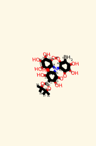 Bc1c(O)c(O)c2ooc3c(O)c(B4OC(C)(C)C(C)(C)O4)c(O)c(O)c3n3c4c(B)c(O)c(O)c(O)c4ooc1c23